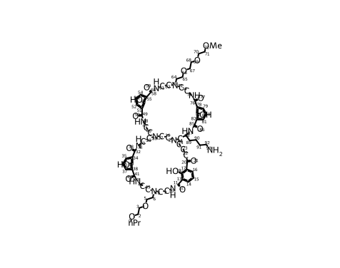 CCCOCCOCCN1CCNC(=O)c2cccc(c2O)C(=O)CCCN2CCN(CCNC(=O)c3cccc(c3O)C(=O)NCC1)CCNC(=O)c1cccc(c1O)C(=O)NCCN(CCOCCOCCOC)CCNC(=O)c1cccc(c1O)C(=O)NC(CCCCN)C2